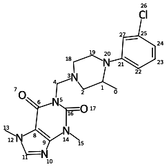 CC1CN(Cn2c(=O)c3c(ncn3C)n(C)c2=O)CCN1c1cccc(Cl)c1